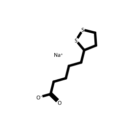 O=C([O-])CCCCC1CCSS1.[Na+]